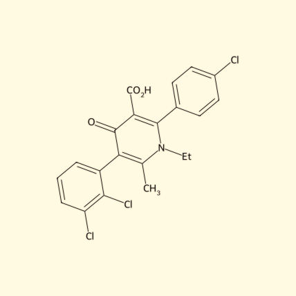 CCn1c(C)c(-c2cccc(Cl)c2Cl)c(=O)c(C(=O)O)c1-c1ccc(Cl)cc1